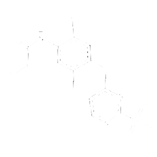 Cc1cc(Oc2ccnc(S(C)(=O)=O)n2)c(C)cc1NC(=O)OC(C)(C)C